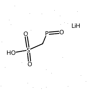 O=PCS(=O)(=O)O.[LiH]